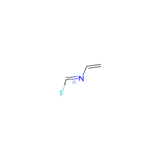 C=C/N=C/F